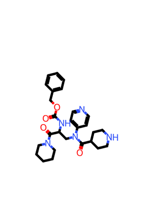 O=C(NC(CN(C(=O)C1CCNCC1)c1ccncc1)C(=O)N1CCCCC1)OCc1ccccc1